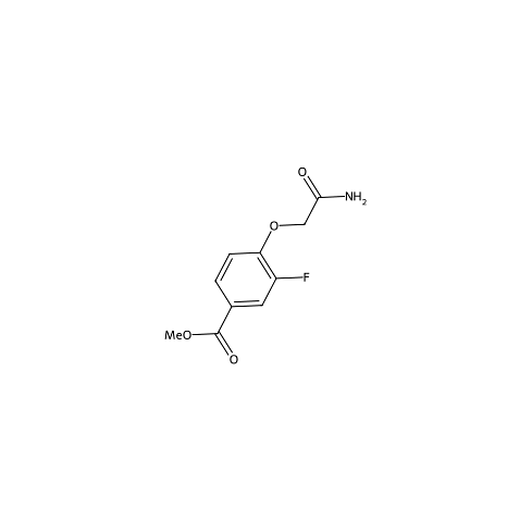 COC(=O)c1ccc(OCC(N)=O)c(F)c1